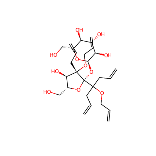 C=CCOC(CC=C)(CC=C)[C@@]1(O[C@H]2O[C@H](CO)[C@@H](O)[C@H](O)[C@H]2O)O[C@H](CO)[C@@H](O)[C@]1(CC=C)OCC=C